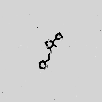 Ic1c(SCCc2ccccn2)n[c]nc1-c1ccco1